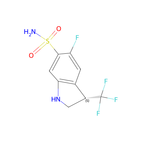 NS(=O)(=O)c1cc2c(cc1F)[C@H](C(F)(F)F)CN2